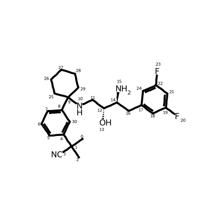 CC(C)(C#N)c1cccc(C2(NC[C@@H](O)[C@@H](N)Cc3cc(F)cc(F)c3)CCCCC2)c1